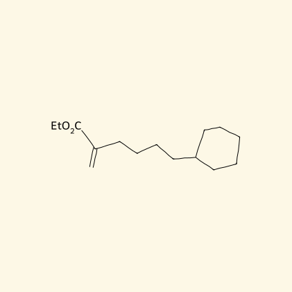 C=C(CCCCC1CCCCC1)C(=O)OCC